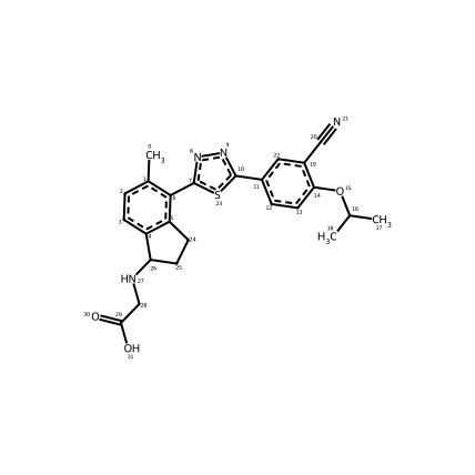 Cc1ccc2c(c1-c1nnc(-c3ccc(OC(C)C)c(C#N)c3)s1)CCC2NCC(=O)O